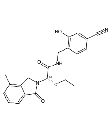 CCO[C@@H](C(=O)NCc1ccc(C#N)cc1O)N1Cc2c(C)cccc2C1=O